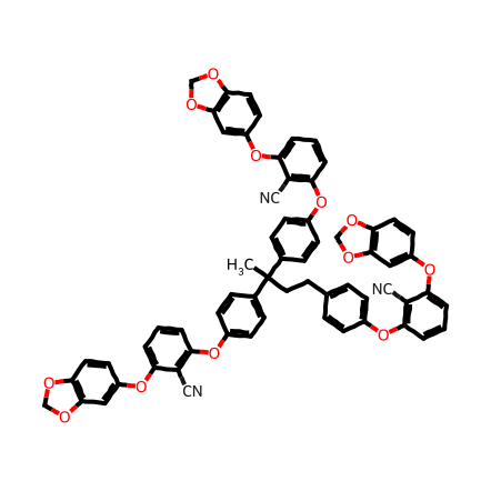 CC(CCc1ccc(Oc2cccc(Oc3ccc4c(c3)OCO4)c2C#N)cc1)(c1ccc(Oc2cccc(Oc3ccc4c(c3)OCO4)c2C#N)cc1)c1ccc(Oc2cccc(Oc3ccc4c(c3)OCO4)c2C#N)cc1